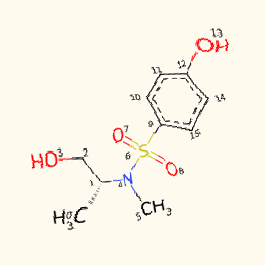 C[C@H](CO)N(C)S(=O)(=O)c1ccc(O)cc1